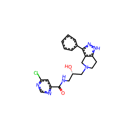 O=C(NC[C@H](O)CN1CCc2[nH]nc(-c3ccccc3)c2C1)c1cc(Cl)ncn1